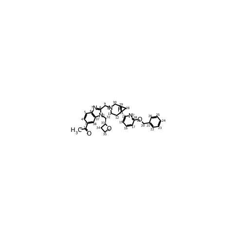 CC(=O)c1ccc2nc(CN3CC[C@]4(c5cccc(OCc6ccccc6)n5)C[C@@H]4C3)n(C[C@@H]3CCO3)c2c1